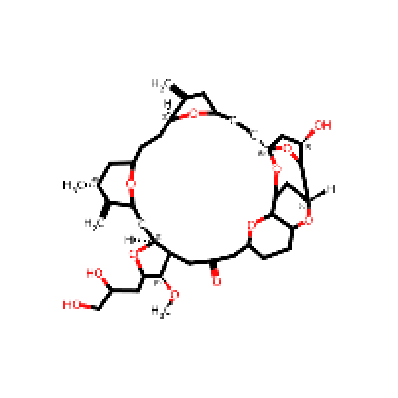 C=C1C2C[C@@H]3OC(CC(O)CO)[C@H](OC)C3CC(=O)CC3CCC4O[C@@H]5CC(O[C@@]6(CCC7CC(=C)[C@H](CCC(C[C@H]1C)O2)O7)C[C@@H](O)C5O6)C4O3